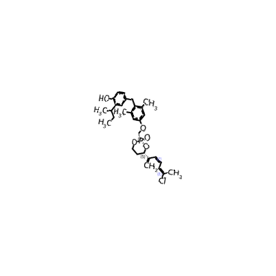 C=C(/C=C\C=C(/C)Cl)[C@@H]1CCO[P@](=O)(COc2cc(C)c(Cc3ccc(O)c(C(C)CC)c3)c(C)c2)O1